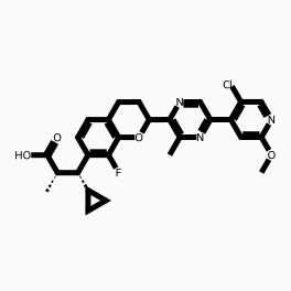 COc1cc(-c2cnc(C3CCc4ccc([C@H](C5CC5)[C@H](C)C(=O)O)c(F)c4O3)c(C)n2)c(Cl)cn1